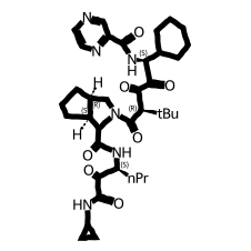 CCC[C@H](NC(=O)C1[C@H]2CCC[C@H]2CN1C(=O)[C@@H](C(=O)C(=O)[C@@H](NC(=O)c1cnccn1)C1CCCCC1)C(C)(C)C)C(=O)C(=O)NC1CC1